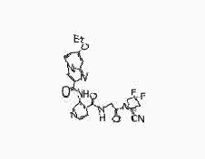 CCOc1ccn2cc(C(=O)Nc3cnccc3C(=O)NCC(=O)N3CC(F)(F)C[C@H]3C#N)nc2c1